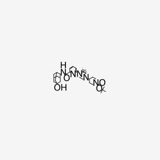 C[C@@H]1CN(C2CCN(C(=O)OC(C)(C)C)CC2)CCN1c1cccc(C(=O)NC2C3CC4CC2CC(O)(C4)C3)n1